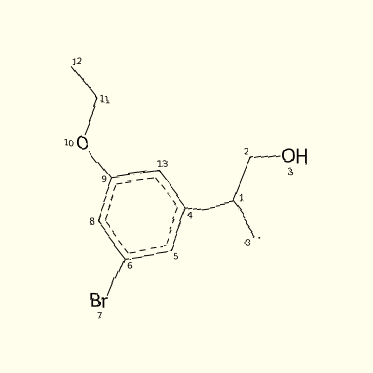 [CH2]C(CO)c1cc(Br)cc(OCC)c1